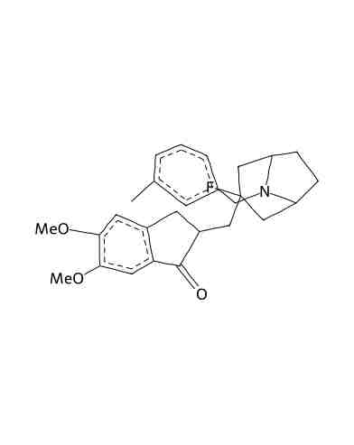 COc1cc2c(cc1OC)C(=O)C(CC1(F)CC3CCC(C1)N3Cc1cccc(C)c1)C2